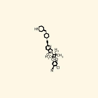 CC1(C)[C@H](Oc2ccc(C#N)c(Cl)c2)C(C)(C)[C@H]1N1Cc2nc(C#C[C@H]3CC[C@H](/C=C4/CCCNCC4)CC3)ccc2C1=O